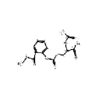 COC(=O)c1ccccc1OC(=O)SCC(NC(C)=O)C(N)=O